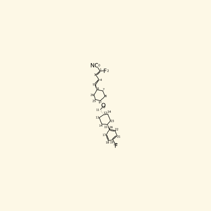 N#C/C(F)=C/C=C/[C@H]1CC[C@H](OC[C@H]2CC[C@H](c3ccc(F)cc3)CC2)CC1